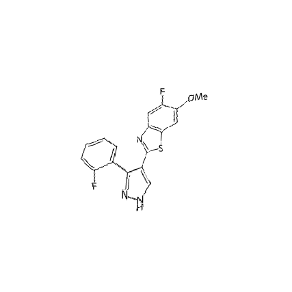 COc1cc2sc(-c3c[nH]nc3-c3ccccc3F)nc2cc1F